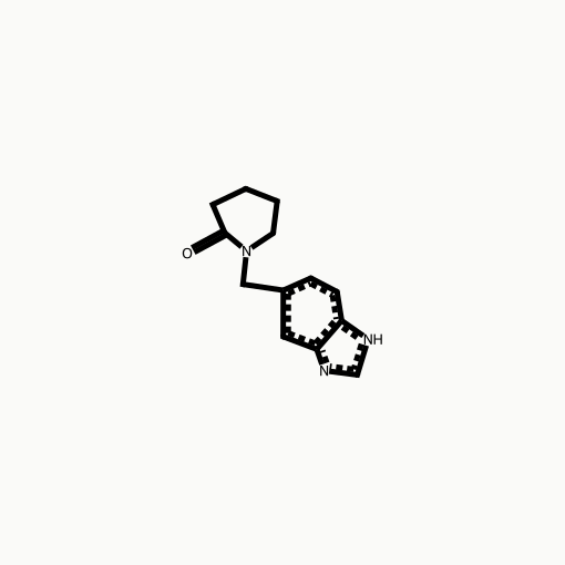 O=C1CCCCN1Cc1ccc2[nH]cnc2c1